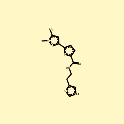 Cn1nc(-c2ccc(C(=O)NCCc3c[nH]cn3)s2)cc1C(F)(F)F